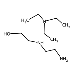 CCN(CC)CC.NCCNCCO